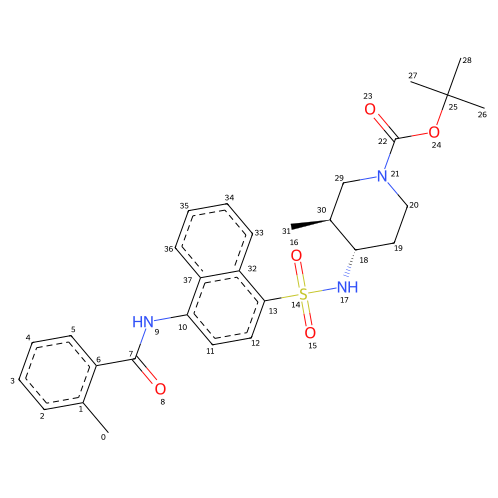 Cc1ccccc1C(=O)Nc1ccc(S(=O)(=O)N[C@H]2CCN(C(=O)OC(C)(C)C)C[C@@H]2C)c2ccccc12